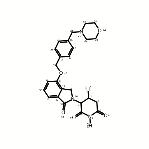 [2H]C1CC(=O)N([2H])C(=O)C1N1Cc2c(OCc3ccc(CN4CCOCC4)cc3)cccc2C1=O